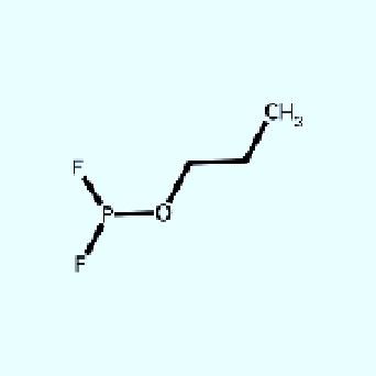 CCCOP(F)F